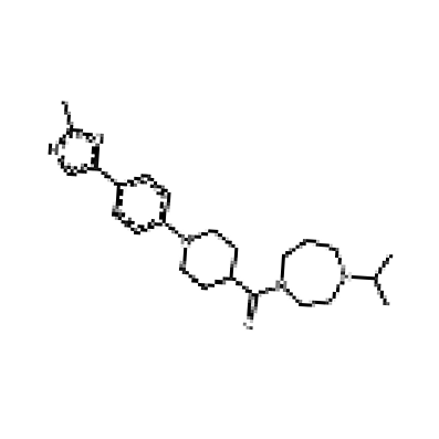 Cc1ncc(-c2ccc(N3CCC(C(=O)N4CCCN(C(C)C)CC4)CC3)cc2)o1